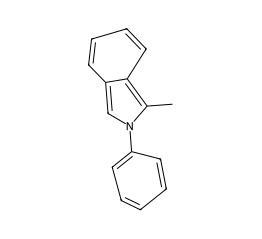 Cc1c2ccccc2cn1-c1ccccc1